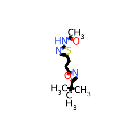 CC(=O)Nc1ncc(CCc2ncc(C(C)(C)C)o2)s1